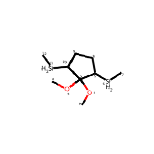 COC1(OC)C([SiH2]C)CCC1[SiH2]C